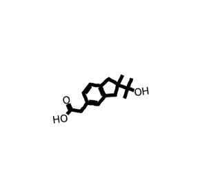 CC(C)(O)C1(C)Cc2ccc(CC(=O)O)cc2C1